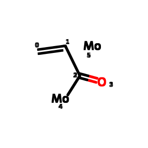 C=C[C](=O)[Mo].[Mo]